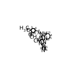 COc1ccc(CCNC(=O)C2CCCCCN2c2cc(Cl)nc(-n3ccnc3)n2)cc1OC